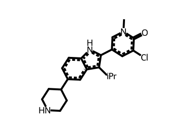 CC(C)c1c(-c2cc(Cl)c(=O)n(C)c2)[nH]c2ccc(C3CCNCC3)cc12